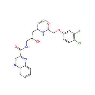 C=CC(CC(O)CNC(=O)c1cnc2ccccc2n1)NC(=O)COc1ccc(Cl)c(F)c1